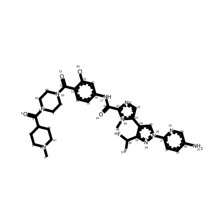 CN1CCC(C(=O)N2CCN(C(=O)c3ccc(NC(=O)c4ncc(-c5cn(-c6ccc(N)cn6)nc5C(F)F)n4C)cc3Cl)CC2)CC1